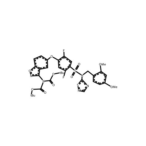 COc1ccc(CN(c2ncns2)S(=O)(=O)c2cc(F)c(Oc3ccc4onc(N(C(=O)OC(C)(C)C)C(=O)OC(C)(C)C)c4c3)cc2F)c(OC)c1